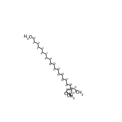 CCCCCCCCCCCCCCCCCCCC[N+](CC)(CC)CC